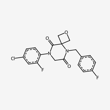 O=C1CN(c2ccc(Cl)cc2F)C(=O)C2(COC2)N1Cc1ccc(F)cc1